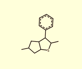 CC1CC2SC(C)C(c3ccccc3)C2C1